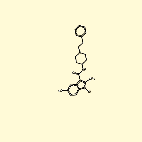 CCn1c(C)c(C(=O)NC2CCN(CCc3ccccc3)CC2)c2cc(O)ccc21